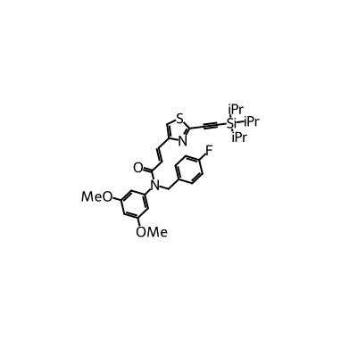 COc1cc(OC)cc(N(Cc2ccc(F)cc2)C(=O)/C=C/c2csc(C#C[Si](C(C)C)(C(C)C)C(C)C)n2)c1